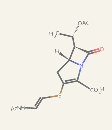 CC(=O)NC=CSC1=C(C(=O)O)N2C(=O)[C@H]([C@H](C)OC(C)=O)[C@H]2C1